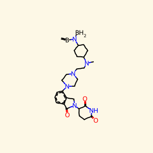 BN(B=C)C1CCC(N(C)CCN2CCN(c3cccc4c3CN(C3CCC(=O)NC3=O)C4=O)CC2)CC1